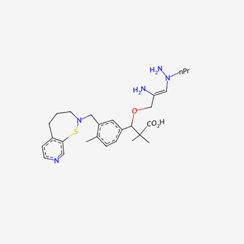 CCCN(N)/C=C(\N)COC(c1ccc(C)c(CN2CCCc3ccncc3S2)c1)C(C)(C)C(=O)O